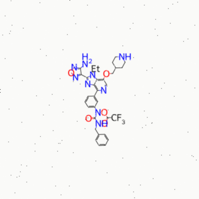 CCn1c(-c2nonc2N)nc2c(-c3cccc(N(OC(=O)C(F)(F)F)C(=O)NCc4ccccc4)c3)ncc(OCC3CCNCC3)c21